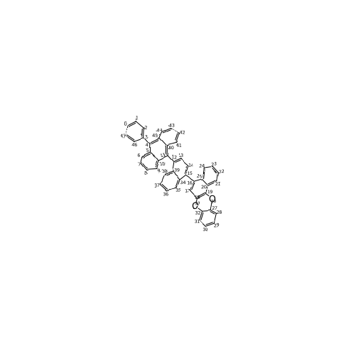 c1ccc(-c2c3ccccc3c(-c3ccc(-c4cc5c(c6ccccc46)Oc4ccccc4O5)c4ccccc34)c3ccccc23)cc1